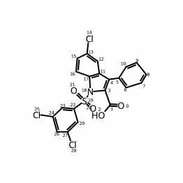 O=C(O)c1c(-c2ccccc2)c2cc(Cl)ccc2n1S(=O)(=O)c1cc(Cl)cc(Cl)c1